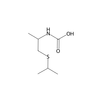 CC(CSC(C)C)NC(=O)O